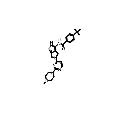 CN1CCN(c2nccc(N3Cc4n[nH]c(NC(=O)c5ccc(C(C)(C)C)cc5)c4C3)n2)CC1